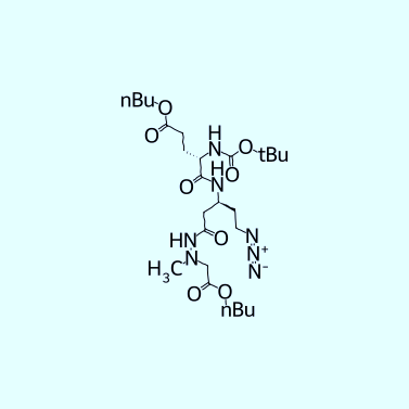 CCCCOC(=O)CC[C@H](NC(=O)OC(C)(C)C)C(=O)N[C@@H](CCN=[N+]=[N-])CC(=O)NN(C)CC(=O)OCCCC